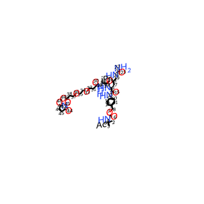 CC(=O)C(C)(C)NC(=O)OCc1ccc(NC(=O)[C@H](CCCNC(N)=O)NC(=O)[C@@H](NC(=O)CCOCCOCCC(=O)ON2C(=O)CCC2=O)C(C)C)cc1